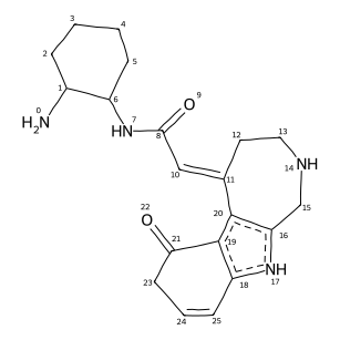 NC1CCCCC1NC(=O)C=C1CCNCc2[nH]c3c(c21)C(=O)CC=C3